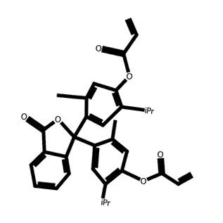 C=CC(=O)Oc1cc(C)c(C2(c3cc(C(C)C)c(OC(=O)C=C)cc3C)OC(=O)c3ccccc32)cc1C(C)C